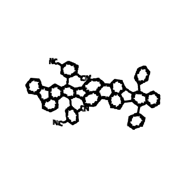 N#Cc1ccc(C#N)c(-c2c3cc4c5ccccc5c5cccc(c3c(-c3cc(C#N)ccc3C#N)c3c6ccc7c8ccc9c%10c(ccc(c%11ccc(c23)c6c%117)c%108)-c2c-9c(-c3ccccc3)c3ccccc3c2-c2ccccc2)c54)c1